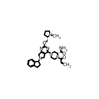 C=CC(=O)N1CCN(c2nc(OC[C@@H]3CCCN3C)nc3c2CN(C2CCc4ccccc42)C3)C[C@@H]1C(N)=O